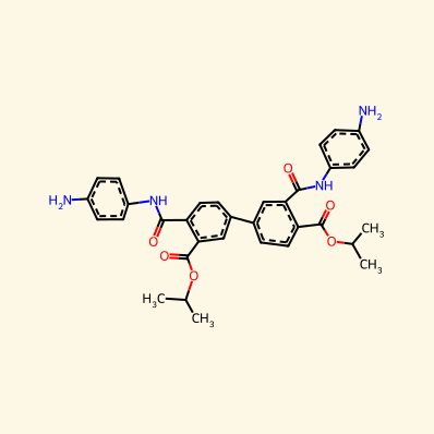 CC(C)OC(=O)c1ccc(-c2ccc(C(=O)Nc3ccc(N)cc3)c(C(=O)OC(C)C)c2)cc1C(=O)Nc1ccc(N)cc1